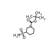 CC(C)(C)OC(=O)N1CCCC(S(N)(=O)=O)C1